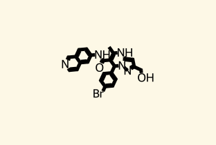 CC1=C(C(=O)Nc2ccc3cnccc3c2)C(c2ccc(Br)cc2)n2nc(CO)cc2N1